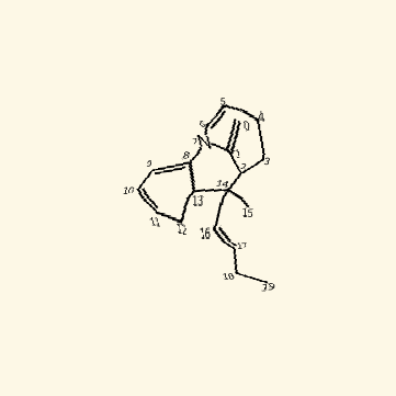 C=C1C2CCC=CN1C1=CC=CCC1C2(C)C=CCC